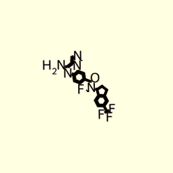 CN(C(=O)c1cc2c(cc1F)nc(N)c1cncn12)C1CCc2cc(C(F)(F)F)ccc21